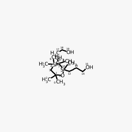 CC1(C)C[Si](C)(C)[Si](C)(C)[Si](C)(CCCO)O1.CCO